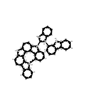 c1ccc2c(c1)nc(-n1c3ccc4sc5ccc6c7ccccc7n7c8cccc1c8c3c4c5c67)n2-c1cccc2c1oc1ccccc12